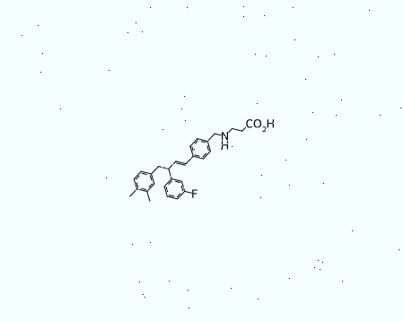 Cc1ccc(CC(C=Cc2ccc(CNCCC(=O)O)cc2)c2cccc(F)c2)cc1C